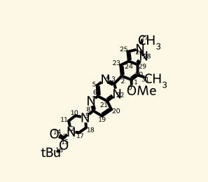 COc1c(-c2ncc3nc(N4CCN(C(=O)OC(C)(C)C)CC4)ccc3n2)cc2cn(C)nc2c1C